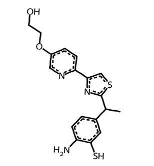 CC(c1ccc(N)c(S)c1)c1nc(-c2ccc(OCCO)cn2)cs1